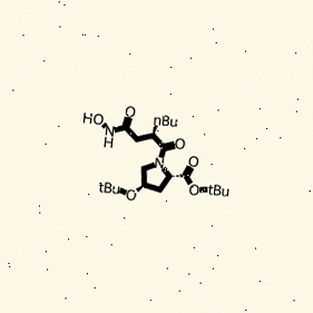 CCCC[C@H](CC(=O)NO)C(=O)N1C[C@H](OC(C)(C)C)C[C@H]1C(=O)OC(C)(C)C